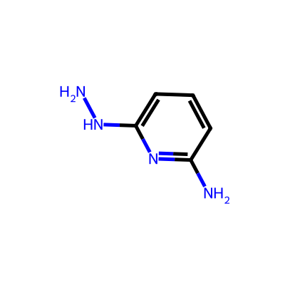 NNc1cccc(N)n1